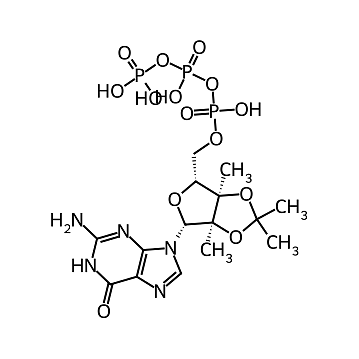 CC1(C)O[C@@]2(C)[C@H](n3cnc4c(=O)[nH]c(N)nc43)O[C@H](COP(=O)(O)OP(=O)(O)OP(=O)(O)O)[C@@]2(C)O1